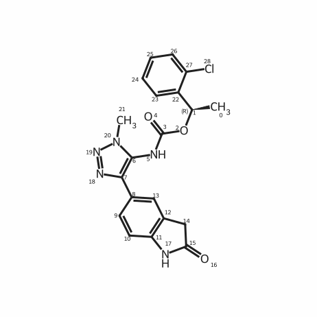 C[C@@H](OC(=O)Nc1c(-c2ccc3c(c2)CC(=O)N3)nnn1C)c1ccccc1Cl